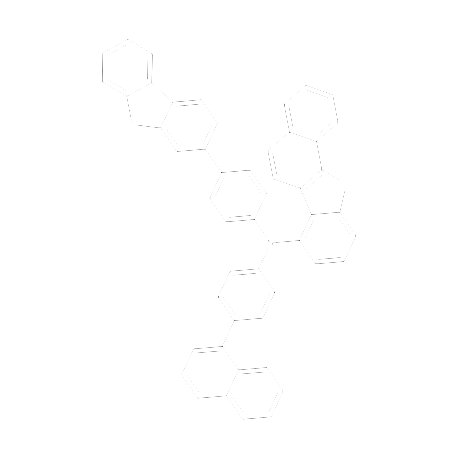 c1ccc2c(-c3ccc(N(c4ccc(-c5ccc6c(c5)sc5ccccc56)cc4)c4cccc5oc6c7ccccc7ccc6c45)cc3)cccc2c1